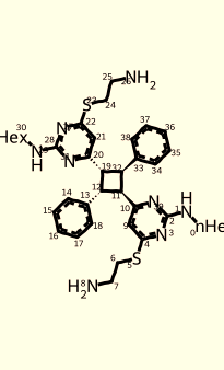 CCCCCCNc1nc(SCCN)cc([C@H]2[C@H](c3ccccc3)[C@H](c3cc(SCCN)nc(NCCCCCC)n3)[C@H]2c2ccccc2)n1